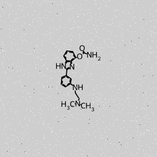 CN(C)CCNc1cccc(-c2nc3c(OC(N)=O)cccc3[nH]2)c1